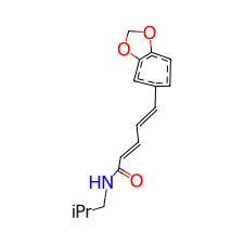 CC(C)CNC(=O)C=CC=Cc1ccc2c(c1)OCO2